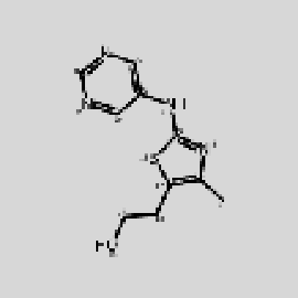 Cc1nc(Nc2cncnc2)sc1CCO